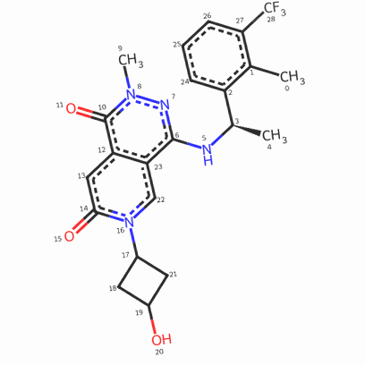 Cc1c([C@@H](C)Nc2nn(C)c(=O)c3cc(=O)n(C4CC(O)C4)cc23)cccc1C(F)(F)F